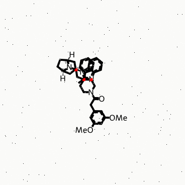 COc1cc(CC(=O)N2CCC(CCN3[C@@H]4CC[C@H]3C[C@@H](n3c(C)nc5ccccc53)C4)(c3ccccc3)CC2)cc(OC)c1